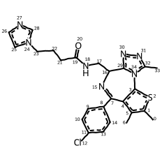 Cc1sc2c(c1C)C(c1ccc(Cl)cc1)=NC(CNC(=O)CCCn1ccnc1)c1nnc(C)n1-2